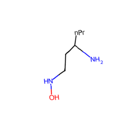 CCCC(N)CCNO